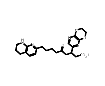 O=C(O)CC(CC(=O)CCCCc1ccc2c(n1)NCCC2)c1cnc2c(n1)OCCO2